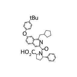 CC(C)(C)c1ccc(Oc2ccc3cc(C(=O)N4[C@@H](c5ccccc5)CC[C@H]4C(=O)O)nc(CC4CCCC4)c3c2)cc1